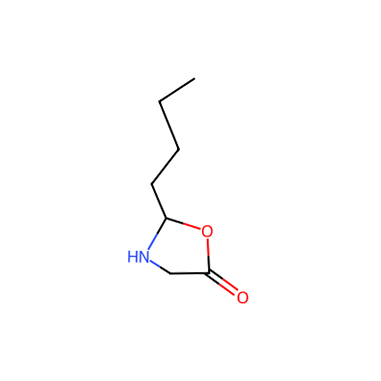 CCCCC1NCC(=O)O1